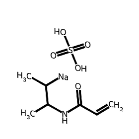 C=CC(=O)NC(C)[CH](C)[Na].O=S(=O)(O)O